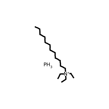 CCCCCCCCCCCC[N+](CC)(CC)CC.P